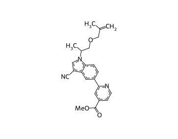 C=C(C)COCC(C)n1cc(C#N)c2cc(-c3cc(C(=O)OC)ccn3)ccc21